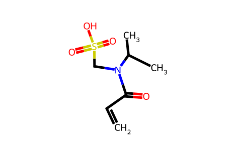 C=CC(=O)N(CS(=O)(=O)O)C(C)C